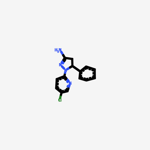 NC1=NN(c2ccc(Cl)cn2)C(c2ccccc2)C1